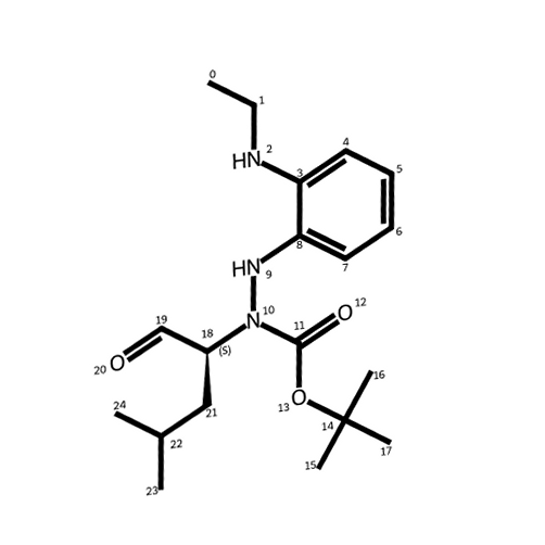 CCNc1ccccc1NN(C(=O)OC(C)(C)C)[C@H](C=O)CC(C)C